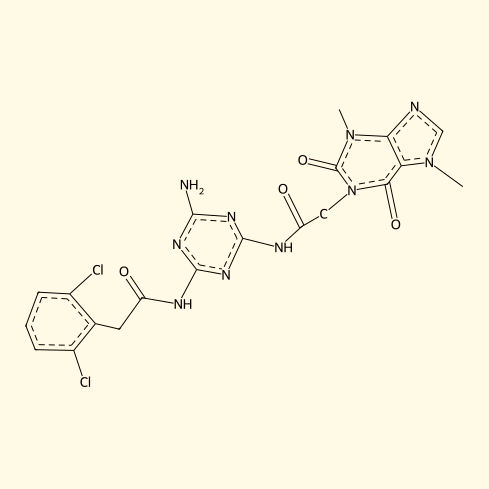 Cn1cnc2c1c(=O)n(CC(=O)Nc1nc(N)nc(NC(=O)Cc3c(Cl)cccc3Cl)n1)c(=O)n2C